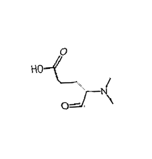 CN(C)[C@H]([C]=O)CCC(=O)O